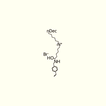 C=Cc1ccc(CNC(O)CCCCC[N+](C)(C)CCCCCCCCCCCCCCCC)cc1.[Br-]